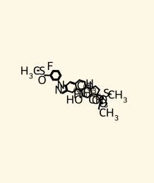 CCC(=O)O[C@]1(C(=O)SC)CC[C@H]2[C@@H]3CCC4=Cc5c(cnn5-c5ccc(F)c(C(=O)SC)c5)C[C@]4(C)[C@H]3[C@@H](O)CC21C